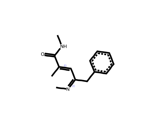 C/N=C(\C=C(/C)C(=O)NC)Cc1ccccc1